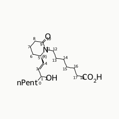 CCCCCC(O)C=C[C@H]1CCCC(=O)N1CCCCCCC(=O)O